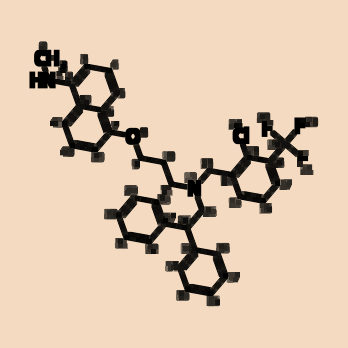 CNc1cccc2c(OCCCN(Cc3cccc(C(F)(F)F)c3Cl)CC(c3ccccc3)c3ccccc3)cccc12